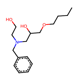 CCCCOCC(O)CN(CCO)Cc1ccccc1